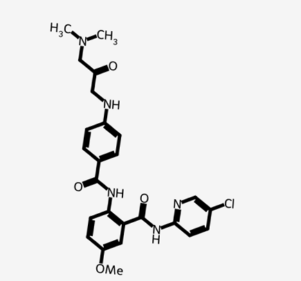 COc1ccc(NC(=O)c2ccc(NCC(=O)CN(C)C)cc2)c(C(=O)Nc2ccc(Cl)cn2)c1